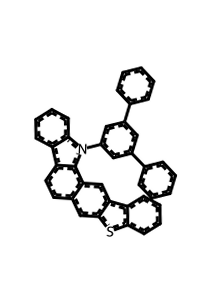 c1ccc(-c2cc(-c3ccccc3)cc(-n3c4ccccc4c4ccc5cc6sc7ccccc7c6cc5c43)c2)cc1